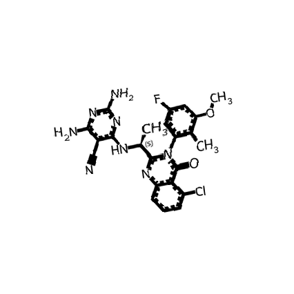 COc1cc(F)cc(-n2c([C@H](C)Nc3nc(N)nc(N)c3C#N)nc3cccc(Cl)c3c2=O)c1C